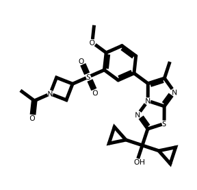 COc1ccc(-c2c(C)nc3sc(C(O)(C4CC4)C4CC4)nn23)cc1S(=O)(=O)C1CN(C(C)=O)C1